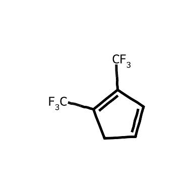 FC(F)(F)C1=C(C(F)(F)F)CC=C1